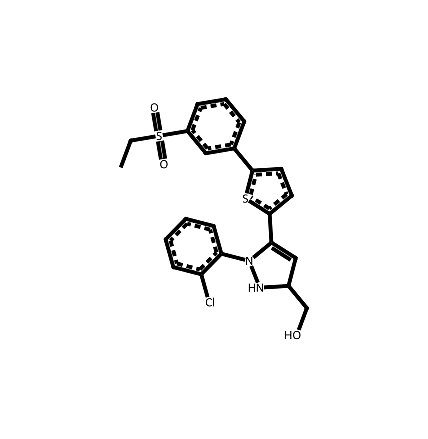 CCS(=O)(=O)c1cccc(-c2ccc(C3=CC(CO)NN3c3ccccc3Cl)s2)c1